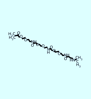 CC(C)NCCCC(=O)NCCOCCOCC(=O)NCCOCCOCC(=O)NCCOCCOCC(=O)C(C)C